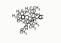 COCCNC(=O)[C@@H](NC(=O)C(Cc1ccc(OC)c(OC)c1OC)C[C@H](O)[C@H](Cc1ccccc1)NC(=O)OC(C)(C)C)C(C)C